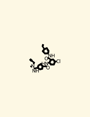 C#CCN(C)C(=N)c1ccc(C(=O)Nc2ccc(Cl)cc2C(=O)Nc2ccc(C=C)cc2)cc1